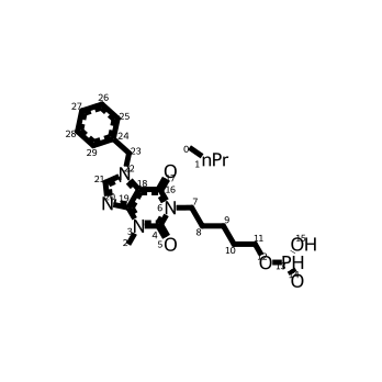 CCCC.Cn1c(=O)n(CCCCCO[PH](=O)O)c(=O)c2c1ncn2Cc1ccccc1